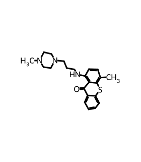 Cc1ccc(NCCCN2CCN(C)CC2)c2c(=O)c3ccccc3sc12